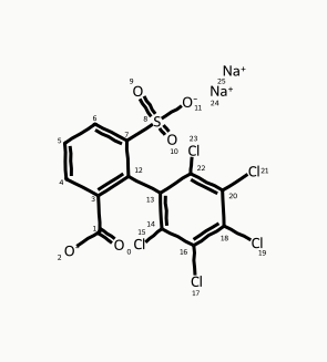 O=C([O-])c1cccc(S(=O)(=O)[O-])c1-c1c(Cl)c(Cl)c(Cl)c(Cl)c1Cl.[Na+].[Na+]